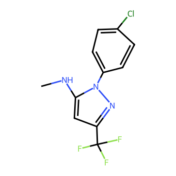 CNc1cc(C(F)(F)F)nn1-c1ccc(Cl)cc1